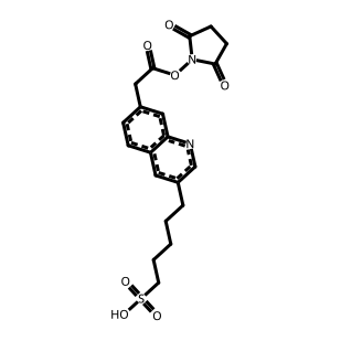 O=C(Cc1ccc2cc(CCCCCS(=O)(=O)O)cnc2c1)ON1C(=O)CCC1=O